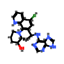 CC(Nc1ncnc2[nH]cnc12)c1cc(Cl)c2cccnc2c1N1CCC[C@H](O)C1